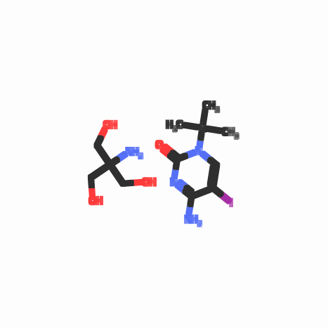 C[Si](C)(C)n1cc(I)c(N)nc1=O.NC(CO)(CO)CO